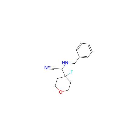 N#CC(NCc1ccccc1)C1(F)CCOCC1